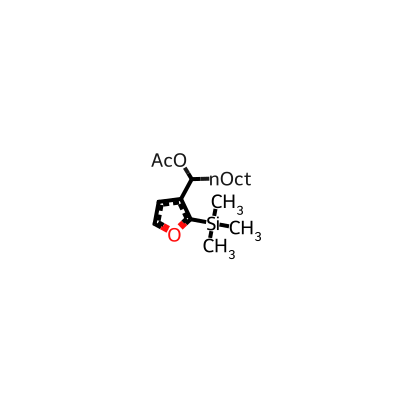 CCCCCCCCC(OC(C)=O)c1ccoc1[Si](C)(C)C